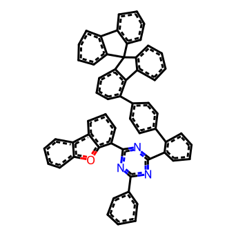 c1ccc(-c2nc(-c3ccccc3-c3ccc(-c4cccc5c4-c4ccccc4C54c5ccccc5-c5ccccc54)cc3)nc(-c3cccc4c3oc3ccccc34)n2)cc1